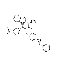 Cc1c(Cc2ccc(OCc3ccccc3)cc2)c(N2CC[C@H](N(C)C)C2)n2c(nc3ccccc32)c1C#N